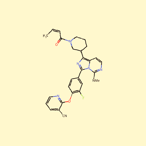 C/C=C\C(=O)N1CCCC(c2nc(-c3ccc(Oc4ncccc4C#N)c(F)c3)n3c(NC)nccc23)C1